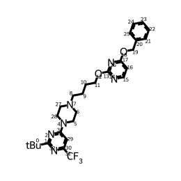 CC(C)(C)c1nc(N2CCN(CCCCOc3nccc(OCc4ccccc4)n3)CC2)cc(C(F)(F)F)n1